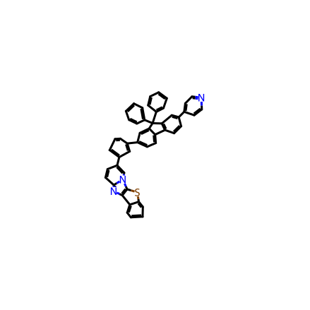 c1ccc(C2(c3ccccc3)c3cc(-c4ccncc4)ccc3-c3ccc(-c4cccc(-c5ccc6nc7c8ccccc8sc7n6c5)c4)cc32)cc1